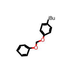 CCC(C)c1ccc(OCOc2ccccc2)cc1